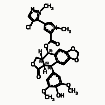 COc1cc([C@@H]2c3cc4c(cc3[C@H](OC(=O)c3cc(-c5c(Cl)cnn5C)cn3C)[C@H]3COC(=O)[C@@H]23)OCO4)cc(OC)c1O